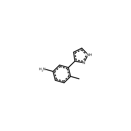 Cc1ccc(N)cc1-c1cc[nH]n1